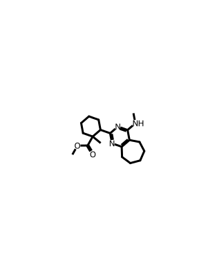 CNc1nc(C2CCCCC2(C)C(=O)OC)nc2c1CCCCC2